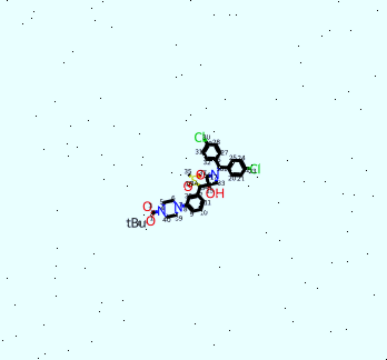 CC(C)(C)OC(=O)N1CCN(c2cccc(C(C3(O)CN(C(c4ccc(Cl)cc4)c4ccc(Cl)cc4)C3)S(C)(=O)=O)c2)CC1